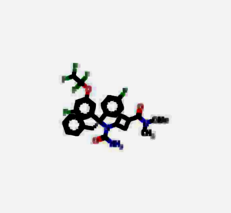 CON(C)C(=O)C1CC(N(C(N)=O)[C@](Cc2ccccc2)(c2ccc(F)cc2)c2cc(F)cc(OC(F)(F)C(F)F)c2)C1